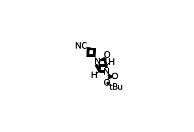 CC(C)(C)OC(=O)N1[C@@H]2C[C@H]1C(=O)N([C@H]1C[C@@H](C#N)C1)C2